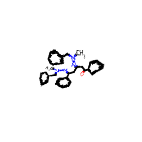 CN(Cc1ccccc1)N=C(CC(=O)c1ccccc1)CC(=NN(C)Cc1ccccc1)c1ccccc1